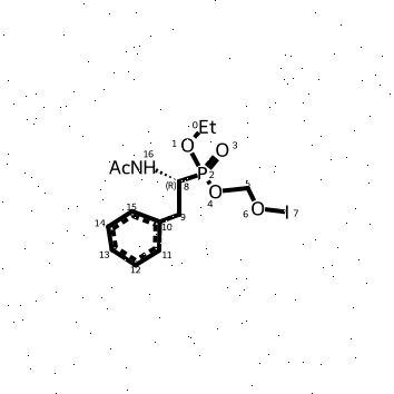 CCOP(=O)(OCOI)[C@H](Cc1ccccc1)NC(C)=O